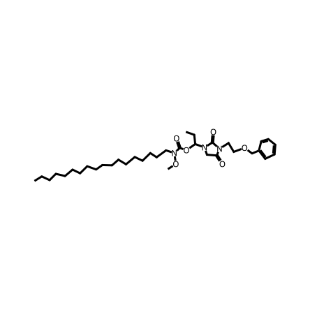 CCCCCCCCCCCCCCCCCCN(OC)C(=O)OC(CC)N1CC(=O)N(CCOCc2ccccc2)C1=O